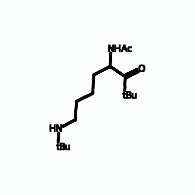 CC(=O)NC(CCCCNC(C)(C)C)C(=O)C(C)(C)C